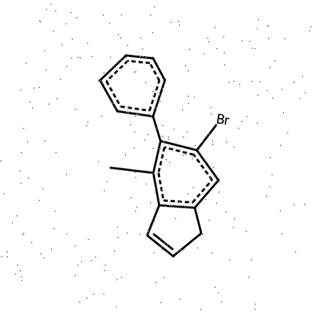 Cc1c2c(cc(Br)c1-c1ccccc1)CC=C2